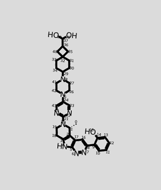 C[C@@H]1c2c([nH]c3nnc(-c4ccccc4O)cc23)CCN1c1ncc(N2CCN(C3CCC4(CC3)CC(C(O)O)C4)CC2)cn1